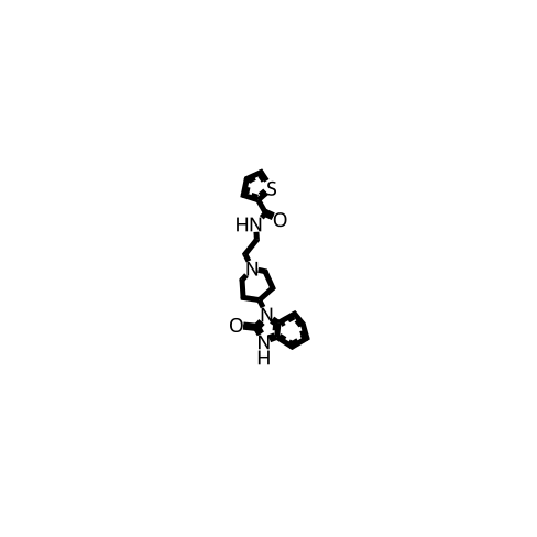 O=C(NCCN1CCC(n2c(=O)[nH]c3ccccc32)CC1)c1cccs1